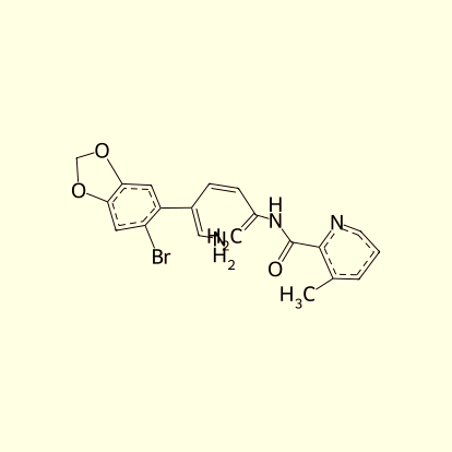 C=C(/C=C\C(=C/N)c1cc2c(cc1Br)OCO2)NC(=O)c1ncccc1C